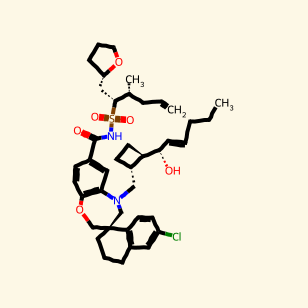 C=CC[C@@H](C)[C@@H](C[C@@H]1CCCO1)S(=O)(=O)NC(=O)c1ccc2c(c1)N(C[C@@H]1CC[C@H]1[C@@H](O)/C=C/CCC)C[C@@]1(CCCc3cc(Cl)ccc31)CO2